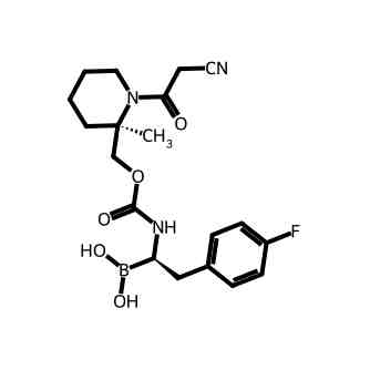 C[C@]1(COC(=O)N[C@@H](Cc2ccc(F)cc2)B(O)O)CCCCN1C(=O)CC#N